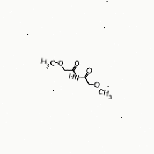 COCC(=O)NC(=O)COC